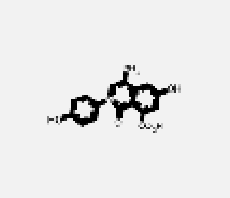 Bc1cn(-c2ccc(O)cc2)c(=O)c2c(C(=O)O)cc(O)cc12